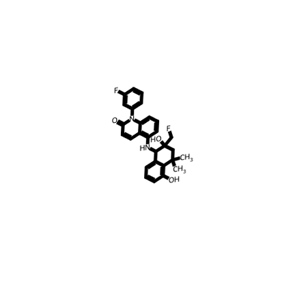 CC1(C)CC(O)(CF)C(Nc2cccc3c2ccc(=O)n3-c2cccc(F)c2)c2cccc(O)c21